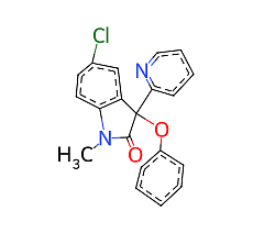 CN1C(=O)C(Oc2ccccc2)(c2ccccn2)c2cc(Cl)ccc21